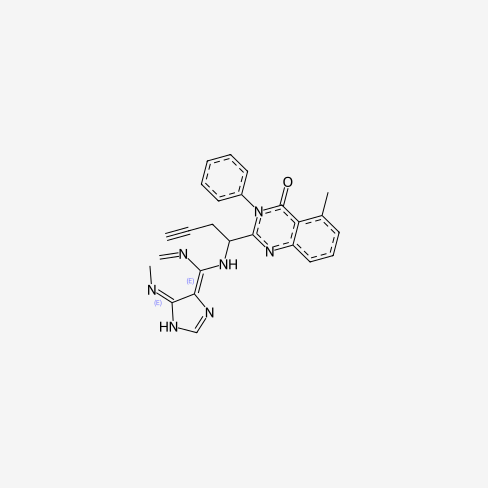 C#CCC(N/C(N=C)=C1\N=CN\C1=N\C)c1nc2cccc(C)c2c(=O)n1-c1ccccc1